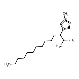 CCCCCCCCCCC[C@@H](C(C)C)n1cc[n+](C)c1